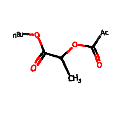 CCCCOC(=O)C(C)OC(=O)C(C)=O